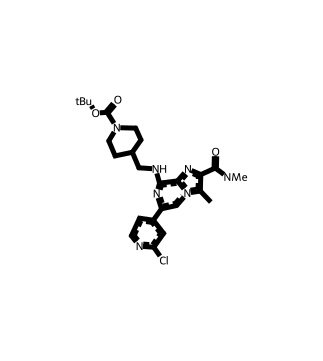 CNC(=O)c1nc2c(NCC3CCN(C(=O)OC(C)(C)C)CC3)nc(-c3ccnc(Cl)c3)cn2c1C